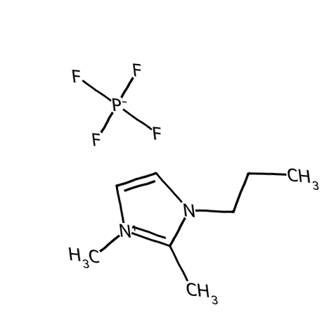 CCCn1cc[n+](C)c1C.F[P-](F)(F)F